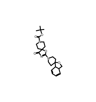 CC(C)(C)OC(=O)N1CCC2(CC1)OC(N1CCC3(CC1)OCC1C=CC=CC13)=NC2=O